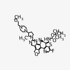 COCCN1CCN([C@H]2CCN(c3ncc4c5c(c(-c6ncc(F)c7sc(NC(=O)OC(C)(C)C)c(C#N)c67)c(F)c4n3)COC5)[C@H]2C)CC1